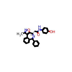 Cc1noc2c1-c1ccccc1C(c1ccccc1)=N[C@H]2CC(=O)Nc1ccc(O)cc1